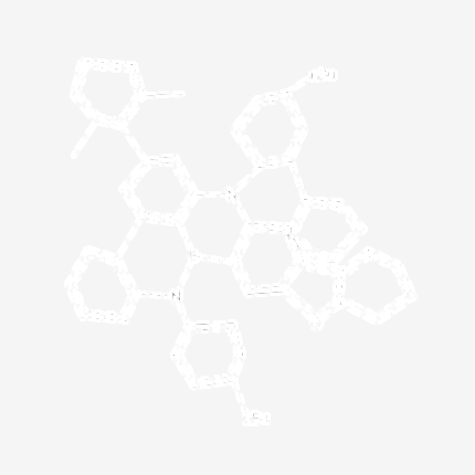 CCCCc1ccc(N2B3c4cc5oc6ccccc6c5cc4N(c4ccc(CCCC)cc4-c4ccccc4)c4cc(-c5c(C)cccc5C)cc(c43)-c3ccccc32)cc1